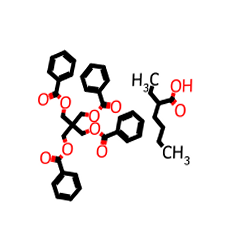 CCCCC(CC)C(=O)O.O=C(OCC(COC(=O)c1ccccc1)(COC(=O)c1ccccc1)COC(=O)c1ccccc1)c1ccccc1